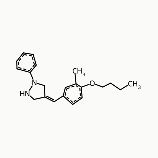 CCCCOc1ccc(C=C2CNN(c3ccccc3)C2)cc1C